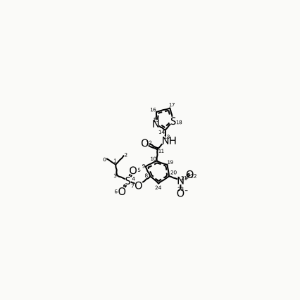 CC(C)CS(=O)(=O)Oc1cc(C(=O)Nc2nccs2)cc([N+](=O)[O-])c1